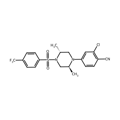 C[C@@H]1CN(c2ccc(C#N)c(Cl)c2)[C@@H](C)CN1S(=O)(=O)c1ccc(C(F)(F)F)cc1